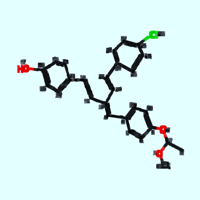 CCOC(C)Oc1ccc(C=C(C=Cc2ccc(O)cc2)C=Cc2ccc(Cl)cc2)cc1